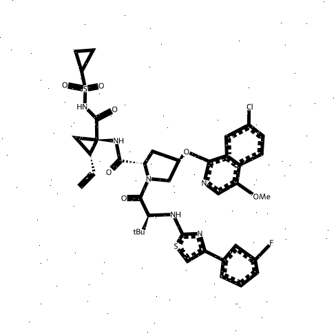 C=C[C@@H]1C[C@]1(NC(=O)[C@@H]1C[C@@H](Oc2ncc(OC)c3ccc(Cl)cc23)CN1C(=O)[C@@H](Nc1nc(-c2cccc(F)c2)cs1)C(C)(C)C)C(=O)NS(=O)(=O)C1CC1